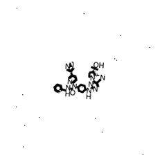 C[C@@H]1[C@H](C(C)(C)O)CCN1c1nc(NC2CCC(N(C(=O)NCc3ccccc3)c3ccc(-c4cnn(C)c4)cn3)CC2)ncc1C#N